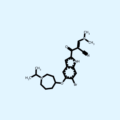 CC(C)N1CCCC(Oc2cc3cc(C(=O)/C(C#N)=C/N(C)C)[nH]c3cc2Br)CC1